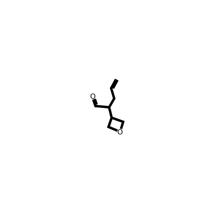 C=CCC(C=O)C1COC1